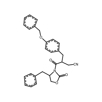 N#CCC(Cc1ccc(OCc2ccccc2)cc1)C(=O)N1C(=O)OCC1Cc1ccccc1